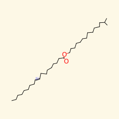 CCCCCCCC/C=C/CCCCCCCC(=O)OCCCCCCCCCCCCC(C)C